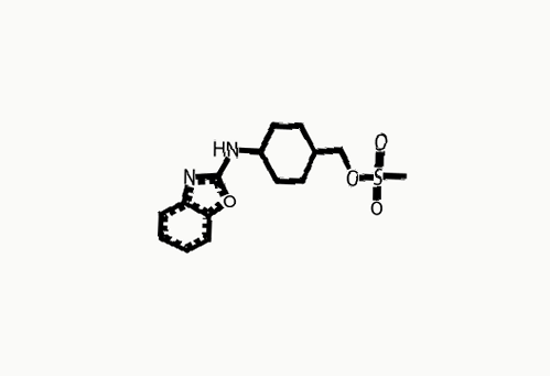 CS(=O)(=O)OCC1CCC(Nc2nc3ccccc3o2)CC1